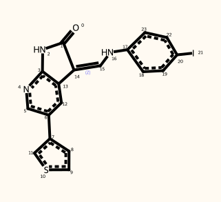 O=C1Nc2ncc(-c3ccsc3)cc2/C1=C/Nc1ccc(I)cc1